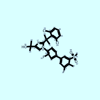 [CH2]c1c(F)cc(-c2ccc(-n3cc(C(C)(C)O)nc3C(C)(C)c3c(Cl)cccc3Cl)c(F)c2)cc1S(C)(=O)=O